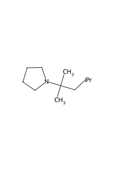 CC(C)CC(C)(C)N1CCCC1